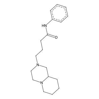 O=C(CCCN1CCN2CCCCC2C1)Nc1ccccc1